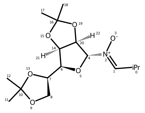 CC(C)C=[N+]([O-])[C@@H]1O[C@@H]([C@H]2COC(C)(C)O2)[C@H]2OC(C)(C)O[C@H]21